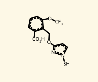 O=C(O)c1cccc(OC(F)(F)F)c1COc1ccn(S)n1